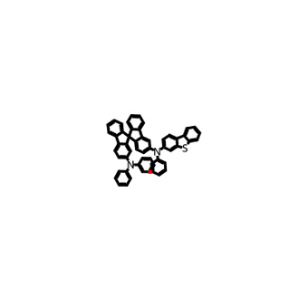 c1ccc(N(c2ccccc2)c2ccc3c(c2)C2(c4ccccc4-c4cc(N(c5ccccc5)c5ccc6c(c5)sc5ccccc56)ccc42)c2ccccc2-3)cc1